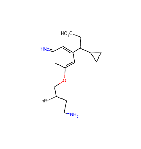 CCCC(CCN)CO/C(C)=C/C(=C\C=N)C(CC(=O)O)C1CC1